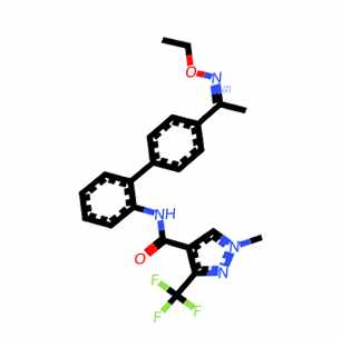 CCO/N=C(/C)c1ccc(-c2ccccc2NC(=O)c2cn(C)nc2C(F)(F)F)cc1